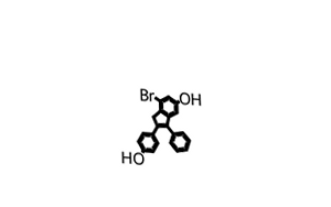 Oc1ccc(C2=C(c3ccccc3)c3cc(O)cc(Br)c3C2)cc1